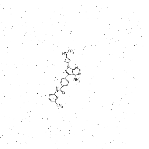 CN[C@H]1C[C@@H](n2nc(-c3ccc(C(=O)Nc4cccc(C)n4)cc3)c3c(N)ncnc32)C1